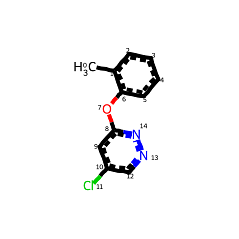 Cc1ccccc1Oc1[c]c(Cl)cnn1